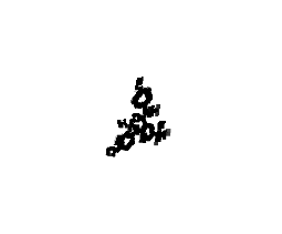 CN(c1ccc(Cl)nc1)c1ncc(C(F)(F)F)cc1C(=O)Nc1ccc(F)cc1